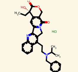 CC[C@@]1(O)C(=O)OCc2c1cc1n(c2=O)Cc2c-1nc1ccccc1c2CCN(Cc1ccccc1)C(C)C.Cl